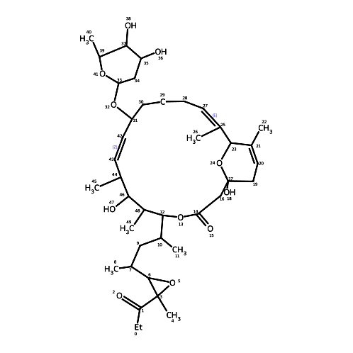 CCC(=O)C1(C)OC1C(C)CC(C)C1OC(=O)CC2(O)CC=C(C)C(O2)/C(C)=C/CCCC(OC2CC(O)C(O)C(C)O2)/C=C\C(C)C(O)C1C